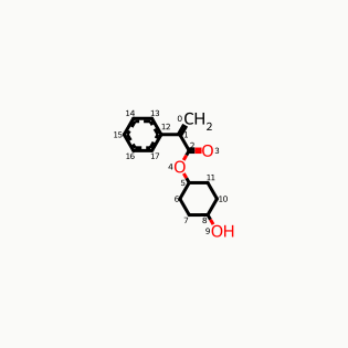 C=C(C(=O)OC1CCC(O)CC1)c1ccccc1